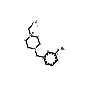 CC(C)(C)c1cccc(CN2CCN(CC(F)(F)F)CC2)c1